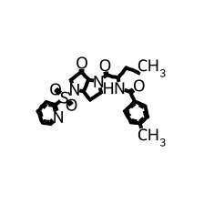 CCCC(NC(=O)c1ccc(C)cc1)C(=O)N1CCC2C1C(=O)CN2S(=O)(=O)c1ccccn1